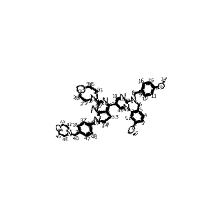 COc1ccc(CN(Cc2ccc(OC)cc2)c2ncc(-c3nc(N4CCOCC4)nc4c3CCN4c3ccc(CN4CCOCC4)cc3)cn2)cc1